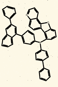 c1ccc(-c2ccc(N(c3ccc(-c4cc(-c5ccccc5)cc5ccccc45)cc3)c3cccc4oc5c6cccnc6ccc5c34)cc2)cc1